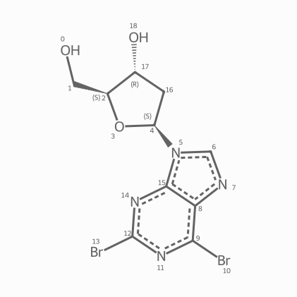 OC[C@@H]1O[C@H](n2cnc3c(Br)nc(Br)nc32)C[C@H]1O